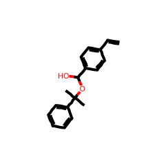 C=Cc1ccc(C(O)OC(C)(C)c2ccccc2)cc1